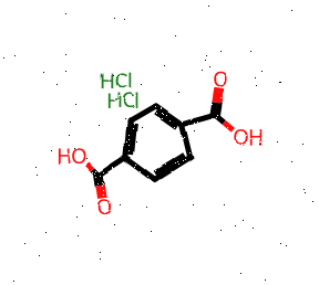 Cl.Cl.O=C(O)c1ccc(C(=O)O)cc1